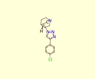 Clc1ccc(-c2cn([C@H]3CN4CCC3CC4)nn2)cc1